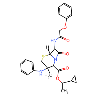 CC(OC(=O)C1N2C(=O)C(NC(=O)COc3ccccc3)[C@H]2SCC1(C)Nc1ccccc1)C1CC1